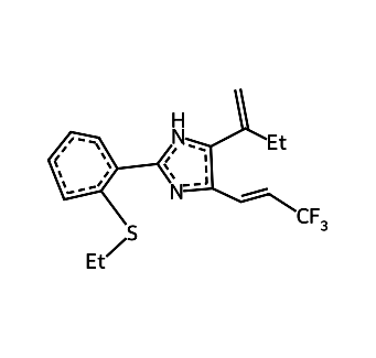 C=C(CC)c1[nH]c(-c2ccccc2SCC)nc1/C=C/C(F)(F)F